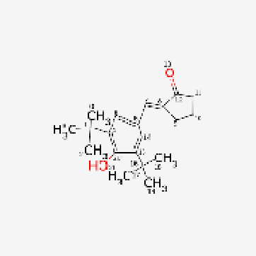 CC(C)(C)c1cc(/C=C2\CCCC2=O)cc(C(C)(C)C)c1O